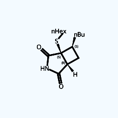 CCCCCCS[C@]12C(=O)NC(=O)[C@H]1C[C@@H]2CCCC